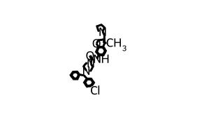 CC1=C(CN2CCCC2)COc2cc(NC(=O)N3CCN(C(c4ccccc4)c4ccc(Cl)cc4)CC3)ccc21